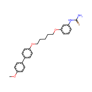 COc1ccc(-c2ccc(OCCCCCOc3cccc(NC(N)=S)c3)cc2)cc1